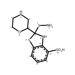 NSC1(C2CNCCO2)Nc2c(cccc2S(=O)(=O)O)S1